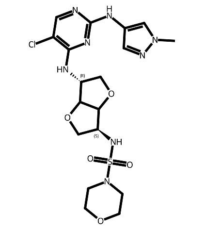 Cn1cc(Nc2ncc(Cl)c(N[C@@H]3COC4C3OC[C@@H]4NS(=O)(=O)N3CCOCC3)n2)cn1